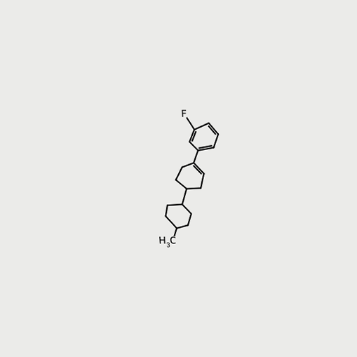 CC1CCC(C2CC=C(c3cccc(F)c3)CC2)CC1